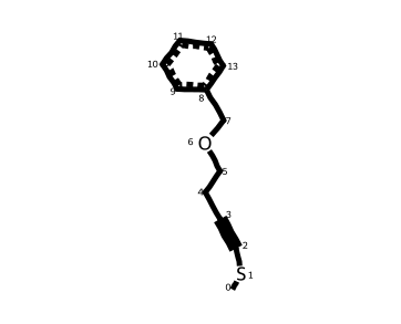 CSC#CCCOCc1ccccc1